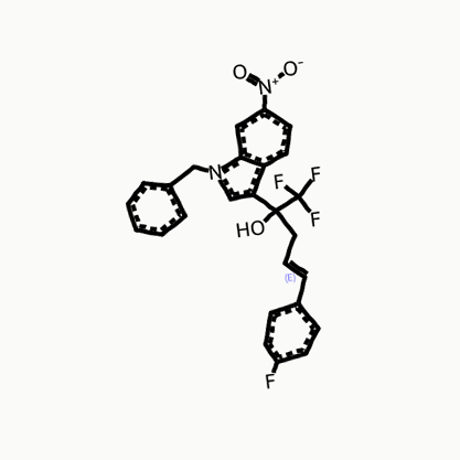 O=[N+]([O-])c1ccc2c(C(O)(C/C=C/c3ccc(F)cc3)C(F)(F)F)cn(Cc3ccccc3)c2c1